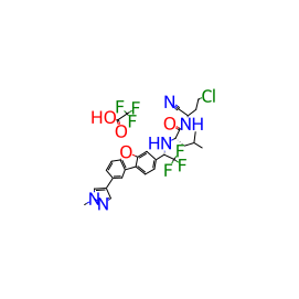 CC(C)C[C@H](N[C@@H](c1ccc2c(c1)oc1ccc(-c3cnn(C)c3)cc12)C(F)(F)F)C(=O)NC(C#N)CCCl.O=C(O)C(F)(F)F